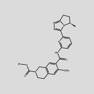 COc1cc2c(cc1C(=O)Nc1cccc(-c3nnc4n3[C@H](C)CC4)n1)CN(C(=O)OC(C)C)CC2